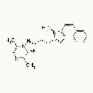 Cc1ncc(C)n2nc(CCc3cc4c5ccccc5ccc4n3C)nc12